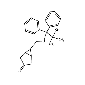 CC(C)(C)[Si](OCC1C2CC(=O)CC12)(c1ccccc1)c1ccccc1